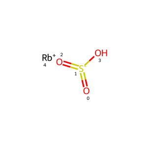 O=[S-](=O)O.[Rb+]